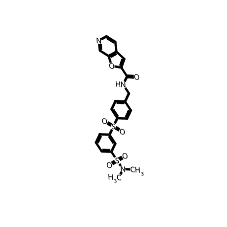 CN(C)S(=O)(=O)c1cccc(S(=O)(=O)c2ccc(CNC(=O)c3cc4ccncc4o3)cc2)c1